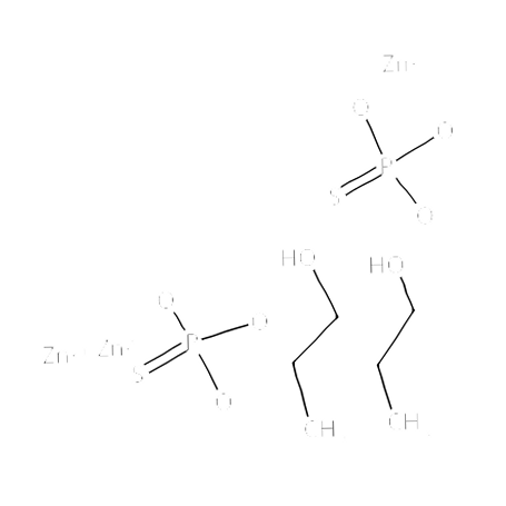 CCCO.CCCO.[O-]P([O-])([O-])=S.[O-]P([O-])([O-])=S.[Zn+2].[Zn+2].[Zn+2]